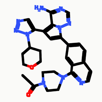 CC(=O)N1CCN(c2nccc3ccc(-c4cc(-c5cnnn5C5CCOCC5)c5c(N)ncnn45)cc23)CC1